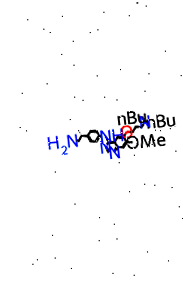 CCCCN(CCCC)CCCOc1cc2c(Nc3ccc([C@@H](C)CN)cc3)ncnc2cc1OC